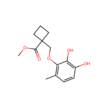 COC(=O)C1(COc2c(C)ccc(O)c2O)CCC1